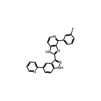 Fc1cccc(-c2nccc3[nH]c(-c4n[nH]c5ccc(-c6ccccn6)cc45)nc23)c1